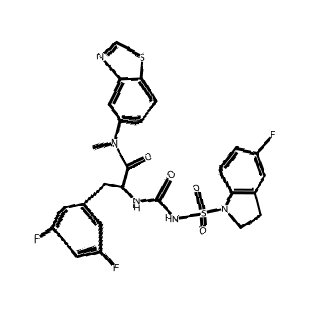 CN(C(=O)C(Cc1cc(F)cc(F)c1)NC(=O)NS(=O)(=O)N1CCc2cc(F)ccc21)c1ccc2scnc2c1